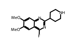 COc1cc2nc(C3CCNCC3)nc(F)c2cc1OC